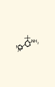 Cn1cc(-c2ccc(N)c(C(C)(C)C)c2)cn1